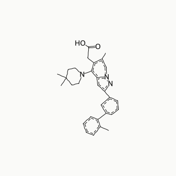 Cc1ccccc1-c1cccc(-c2cc3c(N4CCC(C)(C)CC4)c(CC(=O)O)c(C)cn3n2)c1